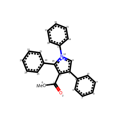 COC(=O)c1c(-c2ccccc2)cn(-c2ccccc2)c1-c1ccccc1